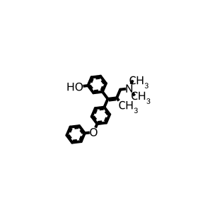 C/C(CN(C)C)=C(\c1ccc(Oc2ccccc2)cc1)c1cccc(O)c1